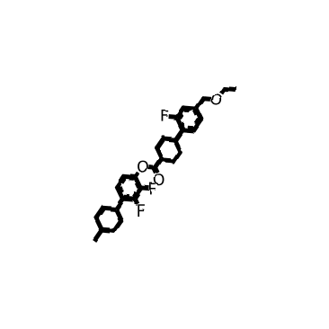 CCOCc1ccc(C2CCC(C(=O)Oc3ccc(C4CCC(C)CC4)c(F)c3F)CC2)c(F)c1